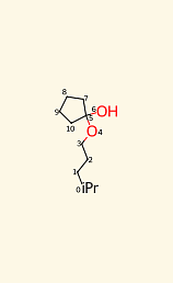 CC(C)CCCOC1(O)CCCC1